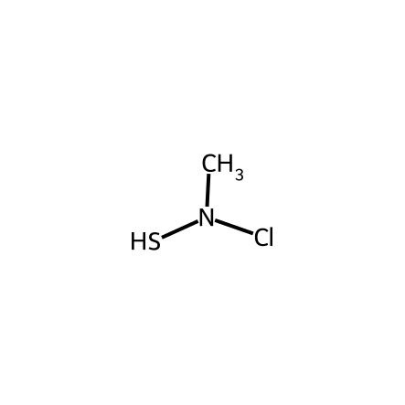 CN(S)Cl